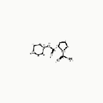 NC(=O)N1CCC[C@H]1C(=O)ON1CCOCC1